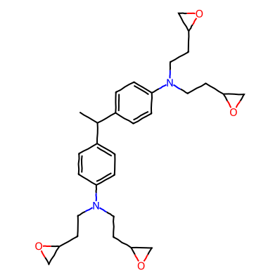 CC(c1ccc(N(CCC2CO2)CCC2CO2)cc1)c1ccc(N(CCC2CO2)CCC2CO2)cc1